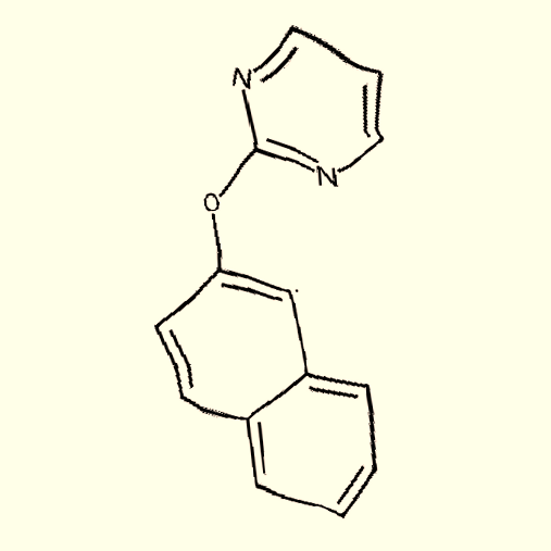 [c]1c(Oc2ncccn2)ccc2ccccc12